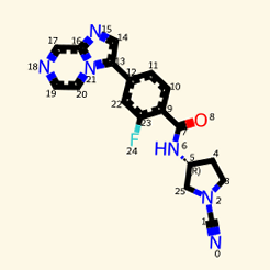 N#CN1CC[C@@H](NC(=O)c2ccc(-c3cnc4cnccn34)cc2F)C1